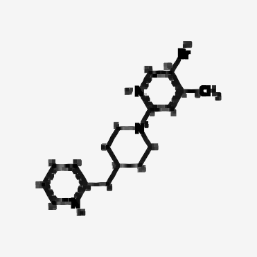 Cc1cc(N2CCC(Cc3ccccn3)CC2)ncc1Br